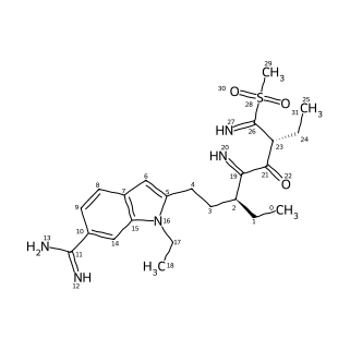 CC[C@@H](CCc1cc2ccc(C(=N)N)cc2n1CC)C(=N)C(=O)[C@@H](CC)C(=N)S(C)(=O)=O